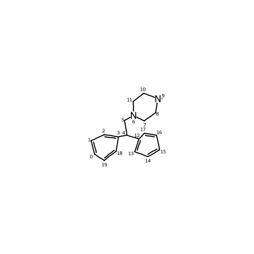 c1ccc(C(CN2CC[N]CC2)c2ccccc2)cc1